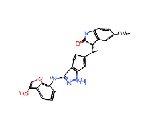 COc1ccc2c(c1)[C@]1(C[C@H]1c1ccc3c(Nc4cccc5c(O)coc45)n[nH]c3c1)C(=O)N2